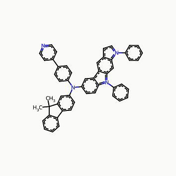 CC1(C)c2ccccc2-c2ccc(N(c3ccc(-c4ccncc4)cc3)c3ccc4c(c3)c3cc5ccn(-c6ccccc6)c5cc3n4-c3ccccc3)cc21